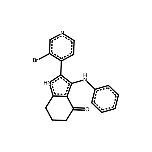 O=C1CCCc2[nH]c(-c3ccncc3Br)c(Nc3ccccc3)c21